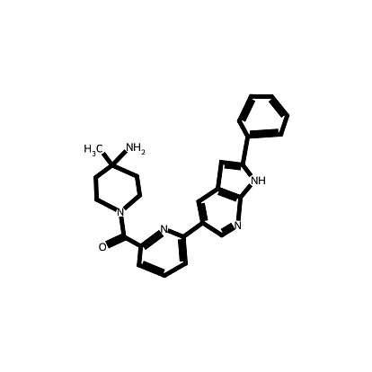 CC1(N)CCN(C(=O)c2cccc(-c3cnc4[nH]c(-c5ccccc5)cc4c3)n2)CC1